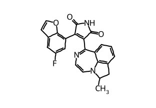 CC1Cc2cccc3c2N1C=CN=C3C1=C(c2cc(F)cc3ccoc23)C(=O)NC1=O